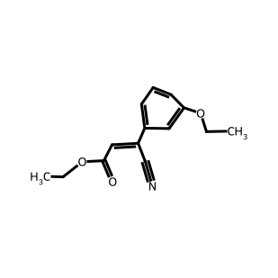 CCOC(=O)C=C(C#N)c1cccc(OCC)c1